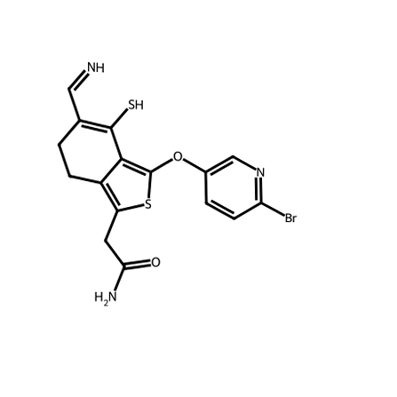 N=CC1=C(S)c2c(Oc3ccc(Br)nc3)sc(CC(N)=O)c2CC1